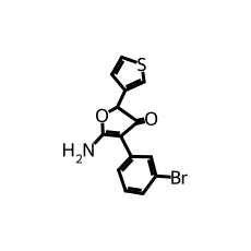 NC1=C(c2cccc(Br)c2)C(=O)C(c2ccsc2)O1